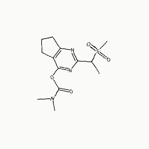 CC(c1nc2c(c(OC(=O)N(C)C)n1)CCC2)S(C)(=O)=O